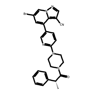 C[C@@H](C(=O)N1CCN(c2ccc(-c3cc(Br)cn4ncc(C#N)c34)cn2)CC1)c1ccccc1